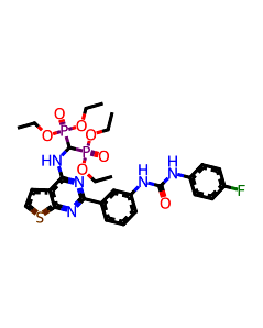 CCOP(=O)(OCC)C(Nc1nc(-c2cccc(NC(=O)Nc3ccc(F)cc3)c2)nc2sccc12)P(=O)(OCC)OCC